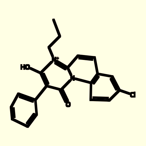 CCC[n+]1c(O)c(-c2ccccc2)c(=O)n2c3ccc(Cl)cc3ccc21